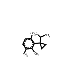 Cc1ccc(F)c(C2(C(N)C(=O)O)CC2)c1C